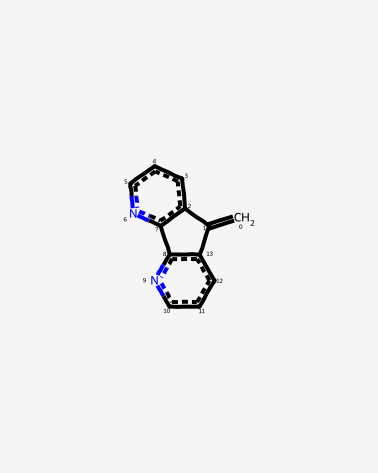 C=C1c2cccnc2-c2ncccc21